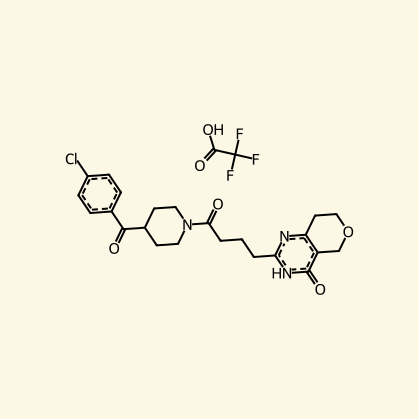 O=C(O)C(F)(F)F.O=C(c1ccc(Cl)cc1)C1CCN(C(=O)CCCc2nc3c(c(=O)[nH]2)COCC3)CC1